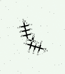 O=S(=O)(OC(F)(F)C(F)(F)C(F)(F)C(F)(F)F)C(F)(F)C(F)(F)C(F)(F)C(F)(F)F